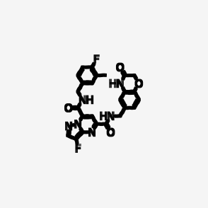 Cc1cc(CNC(=O)c2cc(C(=O)NCc3ccc4c(c3)NC(=O)CO4)nc3c(F)cnn23)ccc1F